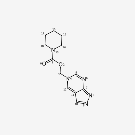 O=C(OCn1cnc2nncc-2c1)N1CCCCC1